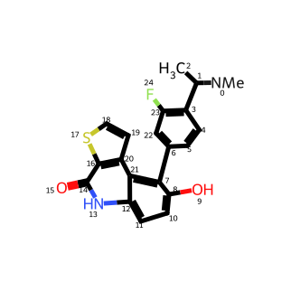 CNC(C)c1ccc(-c2c(O)ccc3[nH]c(=O)c4sccc4c23)cc1F